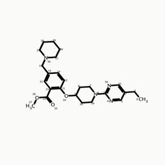 CCc1cnc(N2CCC(Oc3ccc(CN4CCCCC4)cc3C(=O)OC)CC2)nc1